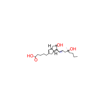 CCCC[C@](C)(O)C/C=C/[C@H]1[C@H]2CC(CCCCC(=O)O)=C[C@H]2C[C@H]1O